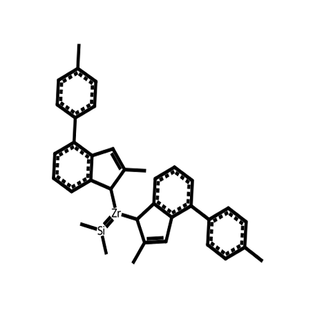 CC1=Cc2c(-c3ccc(C)cc3)cccc2[CH]1[Zr]([CH]1C(C)=Cc2c(-c3ccc(C)cc3)cccc21)=[Si](C)C